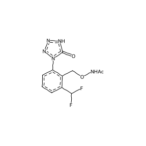 CC(=O)NOCc1c(C(F)F)cccc1-n1nn[nH]c1=O